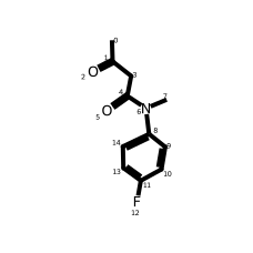 CC(=O)CC(=O)N(C)c1ccc(F)cc1